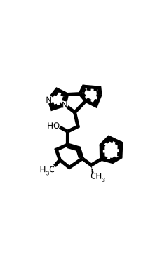 CC1CC(C(O)CC2c3ccccc3-c3cncn32)=C=C([C@@H](C)c2ccccc2)C1